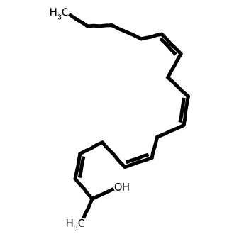 CCCC/C=C\C/C=C\C/C=C\C/C=C\C(C)O